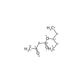 CCC(CC)OC(=O)CC(C)=O